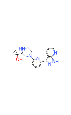 OC1(C2CN(c3cccc(-c4n[nH]c5ncccc45)n3)CCN2)CC1